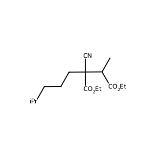 CCOC(=O)C(C)C(C#N)(CCCC(C)C)C(=O)OCC